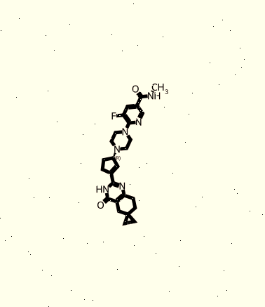 CNC(=O)c1cnc(N2CCN([C@H]3C=C(c4nc5c(c(=O)[nH]4)CC4(CC5)CC4)CC3)CC2)c(F)c1